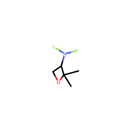 CC1(C)OCC1N(F)F